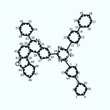 c1ccc(-c2ccc(-c3nc(-c4ccc(-c5ccccc5)cc4)nc(-c4ccc5c(c4)nc(-c4ccccc4)c4ccc6oc7ccccc7c6c45)n3)cc2)cc1